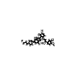 COc1ccc(C(O)CNc2cc[nH]c(=O)c2-c2nc3c(C)cc(N4CCN(CCCF)CC4)cc3[nH]2)cc1Cl